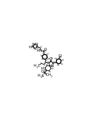 CCCC(c1ccc(C(=O)NCc2nn[nH]n2)cc1)N1C(=O)C(c2cccc(Cl)c2)=NC12CCC(C(C)(C)C)CC2